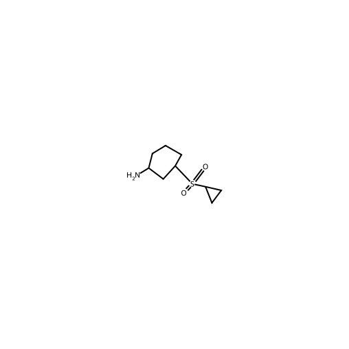 NC1CCCC(S(=O)(=O)C2CC2)C1